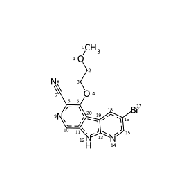 COCCOc1c(C#N)ncc2[nH]c3ncc(Br)cc3c12